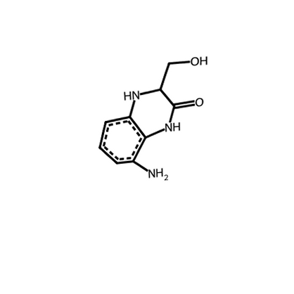 Nc1cccc2c1NC(=O)C(CO)N2